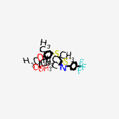 Cc1cc(SC(C)(C)c2sc(-c3ccc(C(F)(F)F)cc3)nc2C)ccc1OC(C)(C)C(=O)O